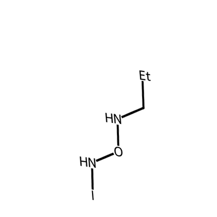 CCCNONI